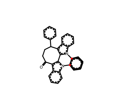 O=C1CCC(c2ccccc2)c2c(n(-c3ccccc3)c3ccccc23)-c2c1c1ccccc1n2-c1ccccc1